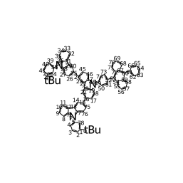 CC(C)(C)c1cccc(-n2c3ccccc3c3cc(-c4ccc5c(c4)c4cc(-c6ccc7c(c6)c6ccccc6n7-c6cccc(C(C)(C)C)c6)ccc4n5-c4ccc(-c5c6ccccc6c(-c6ccccc6)c6ccccc56)cc4)ccc32)c1